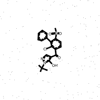 CC(C)(C)n1ncc(C(=O)c2ccc(S(C)(=O)=O)c(-c3ccccc3)c2Cl)c1O